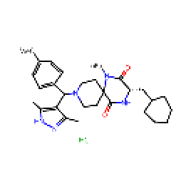 CCCCN1C(=O)[C@H](CC2CCCCC2)NC(=O)C12CCN(C(c1ccc(OC)cc1)c1c(C)n[nH]c1C)CC2.Cl